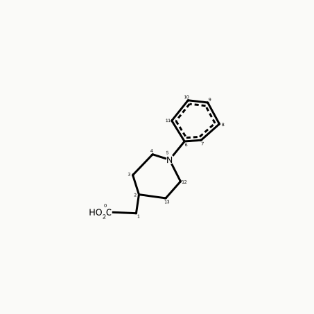 O=C(O)CC1CCN(c2ccccc2)CC1